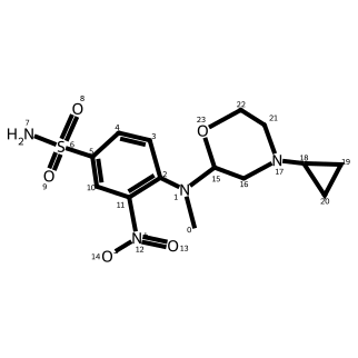 CN(c1ccc(S(N)(=O)=O)cc1[N+](=O)[O-])C1CN(C2CC2)CCO1